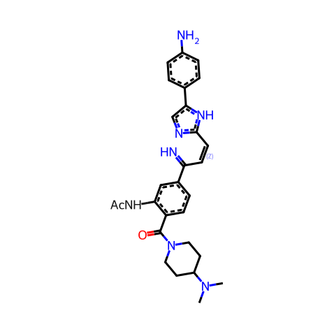 CC(=O)Nc1cc(C(=N)/C=C\c2ncc(-c3ccc(N)cc3)[nH]2)ccc1C(=O)N1CCC(N(C)C)CC1